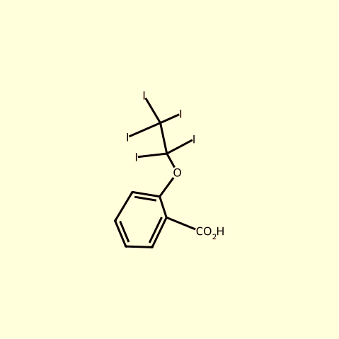 O=C(O)c1ccccc1OC(I)(I)C(I)(I)I